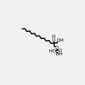 CCCCCCCCCCCCCC(O)(CO)COP(=O)(O)O